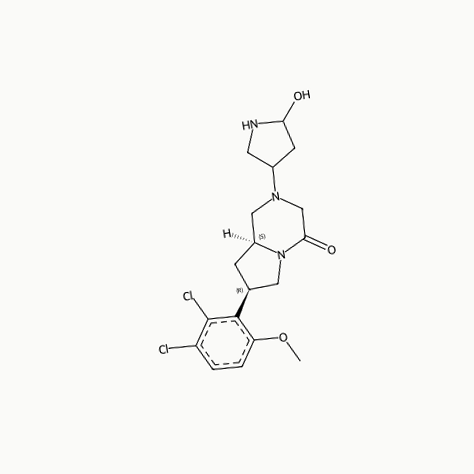 COc1ccc(Cl)c(Cl)c1[C@H]1C[C@H]2CN(C3CNC(O)C3)CC(=O)N2C1